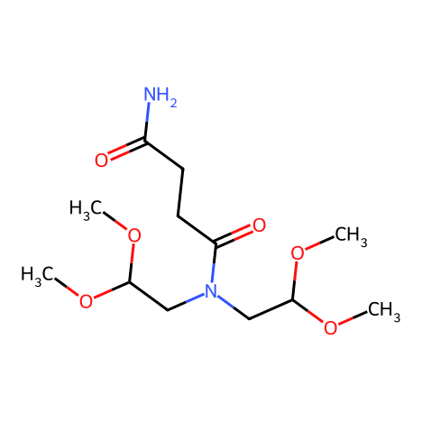 COC(CN(CC(OC)OC)C(=O)CCC(N)=O)OC